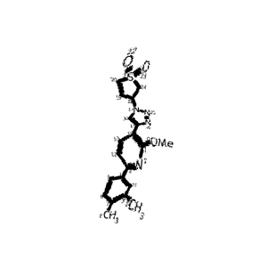 COc1nc(-c2ccc(C)c(C)c2)ccc1-c1cn(C2C=CS(=O)(=O)C2)nn1